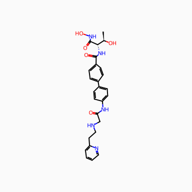 C[C@@H](O)[C@H](NC(=O)c1ccc(-c2ccc(NC(=O)CNCCc3ccccn3)cc2)cc1)C(=O)NO